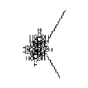 CCCCCCCCCCCCCCCCCCCCCCC(O)C(=O)N[C@@H](COP(=O)(O)O[C@H]1C(O)C(O)C(O)[C@@H](O)C1O[C@H]1O[C@H](COP(=O)(O)OC2C(O)C(O)C(O)[C@@H](O)C2O)[C@@H](O)C(O)C1O)[C@H](O)[C@H](O)CCCCCCCCCCCCCCCC